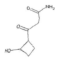 NC(=O)CC(=O)C1CC[C]1O